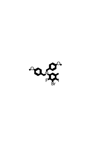 COc1ccc(CN(Cc2ccc(OC)cc2)c2cc(C)c(I)c(Br)c2F)cc1